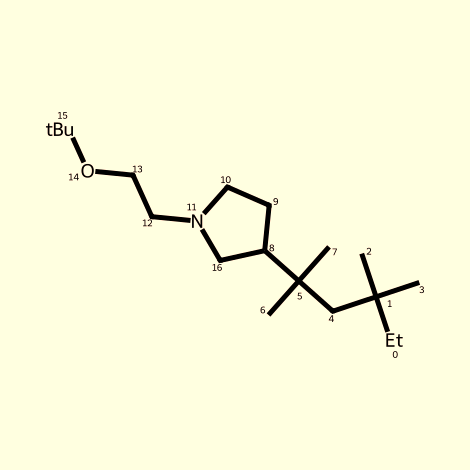 CCC(C)(C)CC(C)(C)C1CCN(CCOC(C)(C)C)C1